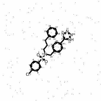 O=S(=O)(c1ccc(Cl)cc1)N(CCCc1ccccc1)Cc1ccc(-c2nnn[nH]2)cc1